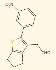 O=CCc1c(-c2cccc([N+](=O)[O-])c2)sc2c1CCC2